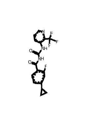 O=C(NC(=O)c1ccc(C2CC2)cc1F)Nc1cccnc1C(F)(F)F